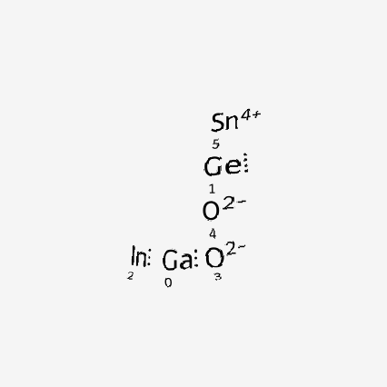 [Ga].[Ge].[In].[O-2].[O-2].[Sn+4]